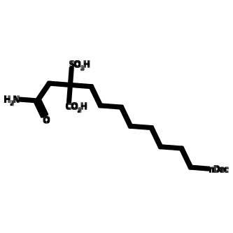 CCCCCCCCCCCCCCCCCCC(CC(N)=O)(C(=O)O)S(=O)(=O)O